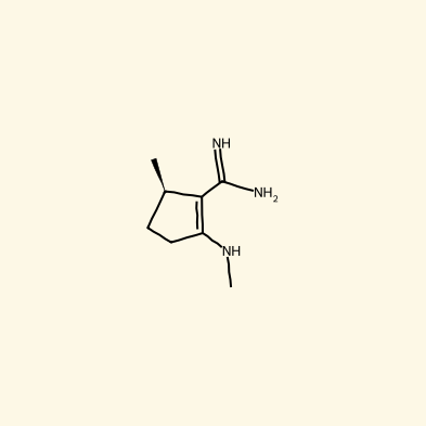 CNC1=C(C(=N)N)[C@H](C)CC1